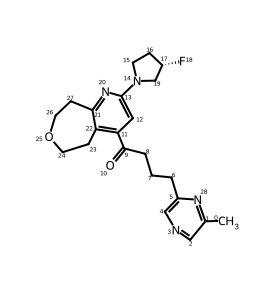 Cc1cncc(CCCC(=O)c2cc(N3CC[C@H](F)C3)nc3c2CCOCC3)n1